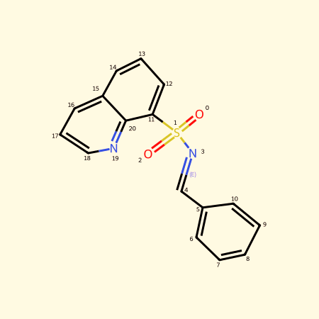 O=S(=O)(/N=C/c1ccccc1)c1cccc2cccnc12